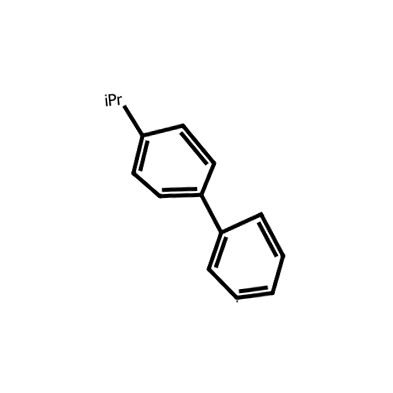 CC(C)c1ccc(-c2c[c]ccc2)cc1